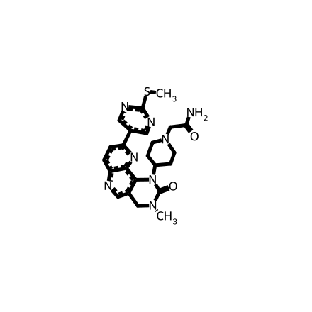 CSc1ncc(-c2ccc3ncc4c(c3n2)N(C2CCN(CC(N)=O)CC2)C(=O)N(C)C4)cn1